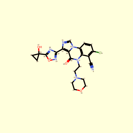 N#Cc1c(Cl)ccc2c1n(CCN1CCOCC1)c(=O)c1c(-c3noc(C4(O)CC4)n3)ncn12